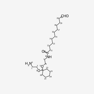 NCCOC1(OCCNC(=O)CCCCCCCCCCC=O)CCCCC1